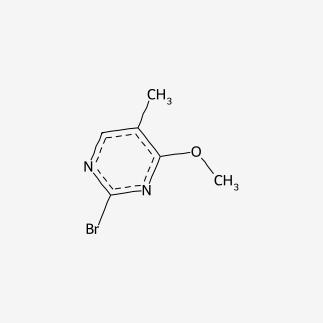 COc1nc(Br)ncc1C